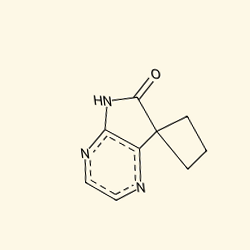 O=C1Nc2nccnc2C12CCC2